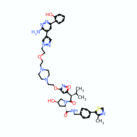 Cc1ncsc1-c1ccc(CNC(=O)[C@@H]2C[C@@H](O)CN2C(=O)[C@@H](c2cc(OCCN3CCN(CCOCCn4cc(-c5cc(-c6ccccc6O)nnc5N)cn4)CC3)no2)C(C)C)cc1